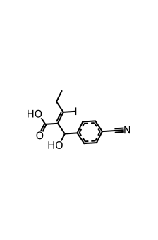 CCC(I)=C(C(=O)O)C(O)c1ccc(C#N)cc1